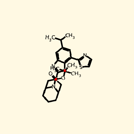 CC(C)c1cc(-c2nccs2)c2oc(N3CC4CCCC(C3)N4C(=O)OC(C)(C)C)nc2c1